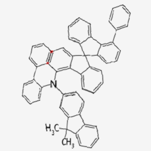 CC1(C)c2ccccc2-c2ccc(N(c3ccccc3-c3ccccc3)c3cccc4c3-c3ccccc3C43c4ccccc4-c4c(-c5ccccc5)cccc43)cc21